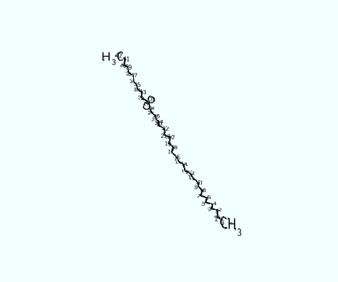 CCCCCCCCCCCCCCCCCCCCCCCCCCCCCOC(=O)CCCCCCCCCCC